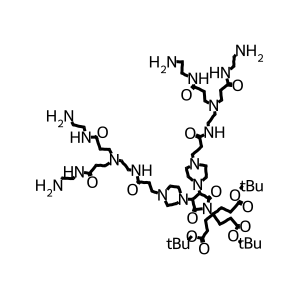 CC(C)(C)OC(=O)CCC(CCC(=O)OC(C)(C)C)(CCC(=O)OC(C)(C)C)N1C(=O)C(N2CCN(CCC(=O)NCCN(CCC(=O)NCCN)CCC(=O)NCCN)CC2)C(N2CCN(CCC(=O)NCCN(CCC(=O)NCCN)CCC(=O)NCCN)CC2)C1=O